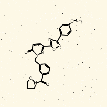 O=C(c1cccc(Cn2nc(-c3nc(-c4ccc(OC(F)(F)F)cc4)no3)ccc2=O)c1)N1CCCO1